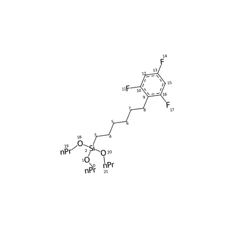 CCCO[Si](CCCCCCc1c(F)cc(F)cc1F)(OCCC)OCCC